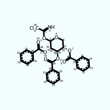 N=C(OC1OC[C@H](OC(=O)c2ccccc2)[C@@H](OC(=O)c2ccccc2)[C@@H]1OC(=O)c1ccccc1)C(Cl)(Cl)Cl